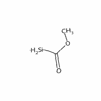 COC(=O)[SiH2]